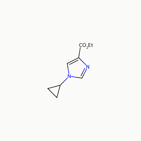 CCOC(=O)c1cn(C2CC2)cn1